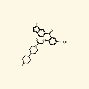 CN1CCC(N2CCN(C(=O)CNc3ccc(C(=O)O)cc3C(=O)c3ccc4cc[nH]c4c3)CC2)CC1